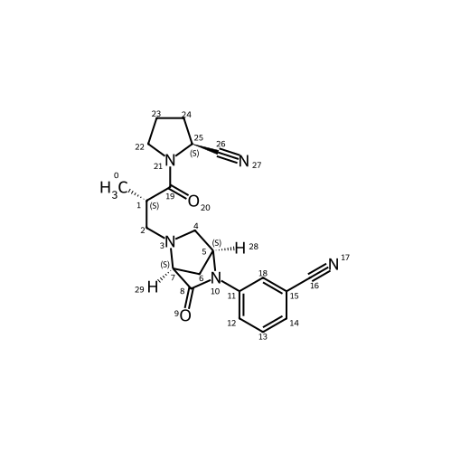 C[C@@H](CN1C[C@@H]2C[C@H]1C(=O)N2c1cccc(C#N)c1)C(=O)N1CCC[C@H]1C#N